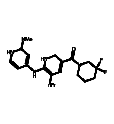 CCCC1=C(NC2=CC(NC)NC=C2)NCC(C(=O)N2CCCC(F)(F)C2)=C1